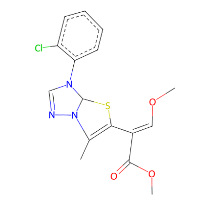 CO/C=C(/C(=O)OC)C1=C(C)N2N=CN(c3ccccc3Cl)C2S1